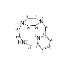 c1cc2nc(c1)CN1CCN(CCNC2)CC1